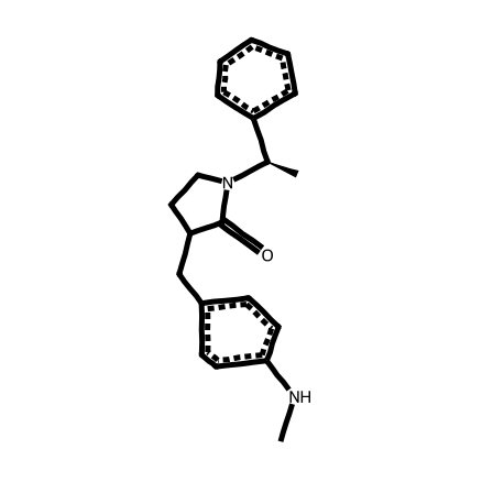 CNc1ccc(CC2CCN([C@H](C)c3ccccc3)C2=O)cc1